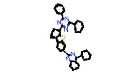 c1ccc(-c2nc(-c3ccccc3)nc(-c3cccc4c3sc3cc(-c5nc(-c6ccccc6)c6ccccc6n5)ccc34)n2)cc1